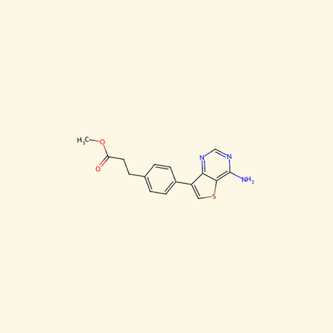 COC(=O)CCc1ccc(-c2csc3c(N)ncnc23)cc1